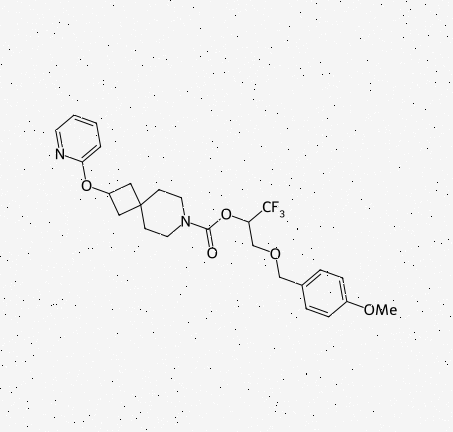 COc1ccc(COCC(OC(=O)N2CCC3(CC2)CC(Oc2ccccn2)C3)C(F)(F)F)cc1